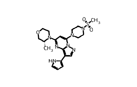 C[C@@H]1COCCN1c1cc(N2CCN(S(C)(=O)=O)CC2)n2ncc(-c3ccc[nH]3)c2n1